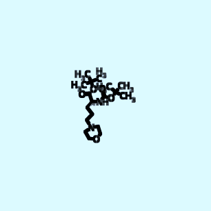 CC(C)(C)OC(=O)N[C@@H](CCCN1CCOCC1)C(=O)OC(C)(C)C